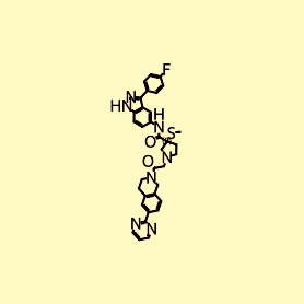 CS[C@@]1(C(=O)Nc2ccc3[nH]nc(-c4ccc(F)cc4)c3c2)CCN(CC(=O)N2CCc3cc(-c4ncccn4)ccc3C2)C1